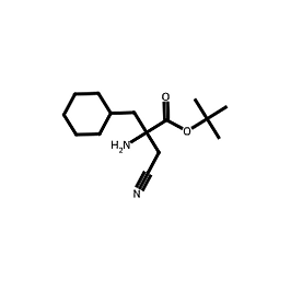 CC(C)(C)OC(=O)C(N)(CC#N)CC1CCCCC1